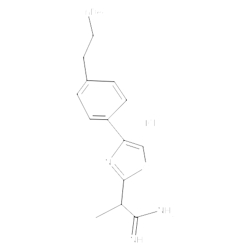 CCCCCCCCCCCCc1ccc(-c2coc(C(C)C(=N)N)n2)cc1.Cl